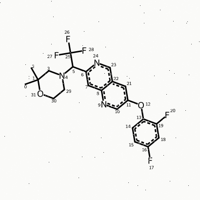 CC1(C)CN(C(c2cc3ncc(Oc4ccc(F)cc4F)cc3cn2)C(F)(F)F)CCO1